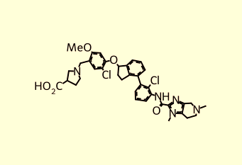 COc1cc(OC2CCc3c(-c4cccc(NC(=O)c5nc6c(n5C)CCN(C)C6)c4Cl)cccc32)c(Cl)cc1CN1CCC(C(=O)O)C1